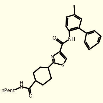 CCCCCNC(=O)C1CCC(c2nc(C(=O)Nc3ccc(C)cc3-c3ccccc3)cs2)CC1